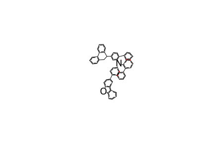 c1ccc(-c2ccccc2N(c2ccc(-c3ccc4oc5ccccc5c4c3)cc2)c2cc(C3Cc4ccccc4-c4ccccc43)ccc2-c2ccccc2)cc1